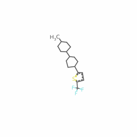 CC1CCC(C2CCC(c3ccc(C(F)(F)F)s3)CC2)CC1